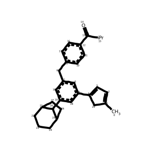 CC1=CC=C(c2cc(Cc3ccc(C(=O)C(C)C)cc3)cc(C3C4CCCC3CC4)c2)C1